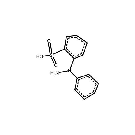 NN(c1ccccc1)c1ccccc1S(=O)(=O)O